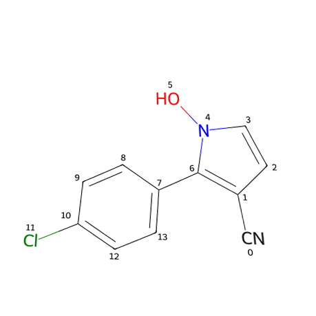 N#Cc1ccn(O)c1-c1ccc(Cl)cc1